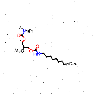 [CH2]CCN(C(C)=O)C(=O)OCC(COC(=O)NCCCCCCCCCCCCCCCCCC)OC